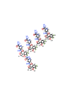 COc1c([C@@H]2[C@@H](C)[C@H](C)O[C@H]2C(=O)Nc2ccnc(C(N)=O)c2)ccc(F)c1F.COc1c([C@@H]2[C@H](C)[C@@H](C)O[C@H]2C(=O)Nc2ccnc(C(N)=O)c2)ccc(F)c1F.COc1c([C@H]2[C@@H](C)[C@H](C)O[C@@H]2C(=O)Nc2ccnc(C(N)=O)c2)ccc(F)c1F.COc1c([C@H]2[C@H](C)[C@@H](C)O[C@@H]2C(=O)Nc2ccnc(C(N)=O)c2)ccc(F)c1F.COc1c([C@H]2[C@H](C)[C@H](C)O[C@H]2C(=O)Nc2ccnc(C(N)=O)c2)ccc(F)c1F